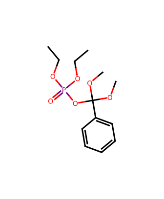 CCOP(=O)(OCC)OC(OC)(OC)c1ccccc1